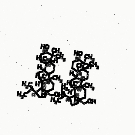 C=C(C)[C@@H]1CC[C@]2(CO)CC[C@]3(C)[C@H](CC[C@@H]4[C@@]5(C)CC[C@H](O)C(C)(C)[C@@H]5CC[C@]43C)[C@@H]12.C=C(C)[C@@H]1CC[C@]2(CO)CC[C@]3(C)[C@H](CC[C@@H]4[C@@]5(C)CC[C@H](O)C(C)(C)[C@@H]5CC[C@]43C)[C@@H]12